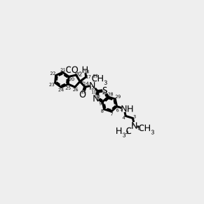 CN(C)CCNc1ccc2nc(N(C)C(=O)C3(CC(=O)O)Cc4ccccc4C3)sc2c1